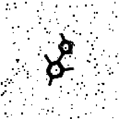 [CH2]c1nc(-c2c(C)cc(C)cc2C)no1